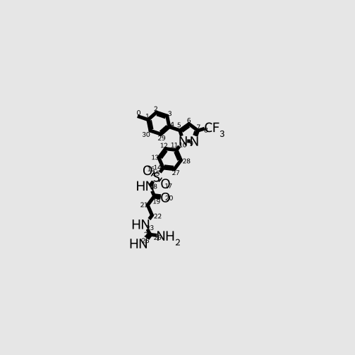 Cc1ccc(-c2cc(C(F)(F)F)nn2-c2ccc(S(=O)(=O)NC(=O)CCNC(=N)N)cc2)cc1